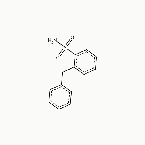 NS(=O)(=O)c1ccccc1Cc1ccccc1